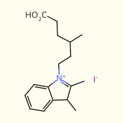 CC1=[N+](CCC(C)CCC(=O)O)c2ccccc2C1C.[I-]